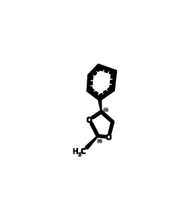 C[C@@H]1OC[C@H](c2ccccc2)O1